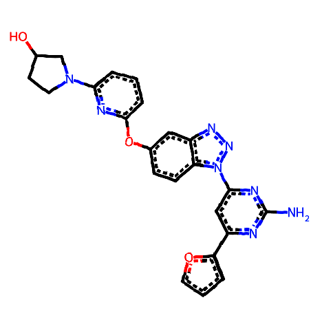 Nc1nc(-c2ccco2)cc(-n2nnc3cc(Oc4cccc(N5CCC(O)C5)n4)ccc32)n1